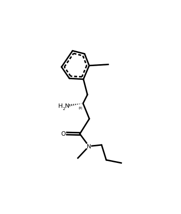 CCCN(C)C(=O)C[C@H](N)Cc1ccccc1C